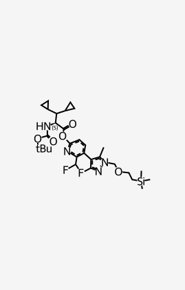 Cc1nn(COCC[Si](C)(C)C)c(C)c1-c1ccc(OC(=O)[C@@H](NC(=O)OC(C)(C)C)C(C2CC2)C2CC2)nc1C(F)F